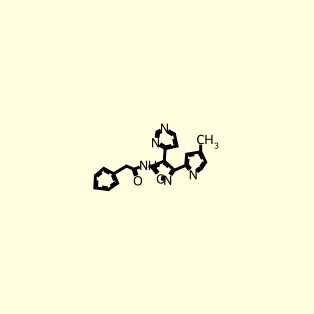 Cc1ccnc(-c2noc(NC(=O)Cc3ccccc3)c2-c2ccncn2)c1